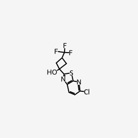 OC1(c2nc3ccc(Cl)nc3s2)CC(C(F)(F)F)C1